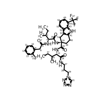 CCC(C)[C@H](NC(=O)Cc1ccccc1F)C(=O)N[C@]1(C(=O)N[C@H](C(=O)NCCCn2cnnn2)C(C)CC)CCc2[nH]c3c(C(F)(F)F)cccc3c2C1